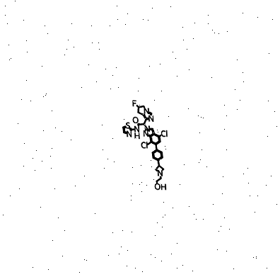 O=C(Nc1nccs1)C(c1ncn2c1CC(F)C2)n1cc2c(Cl)cc(-c3ccc(C4CN(CCO)C4)cc3)c(Cl)c2n1